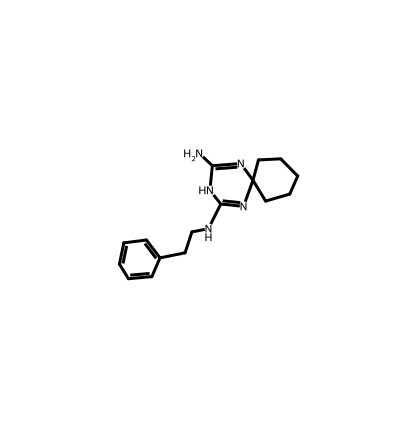 NC1=NC2(CCCCC2)N=C(NCCc2ccccc2)N1